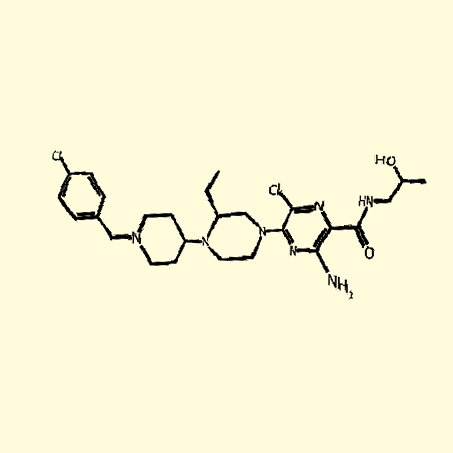 CC[C@H]1CN(c2nc(N)c(C(=O)NCC(C)O)nc2Cl)CCN1C1CCN(Cc2ccc(Cl)cc2)CC1